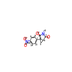 CN1C(=O)C2CC2(c2ccc([N+](=O)[O-])cc2)C1=O